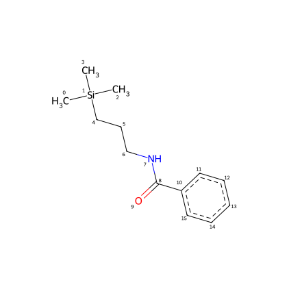 C[Si](C)(C)CCCNC(=O)c1ccccc1